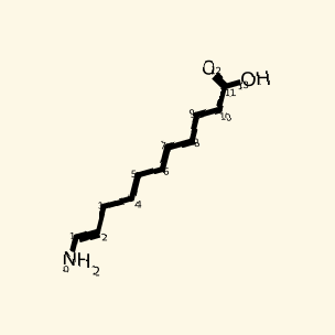 N/C=C/CCCCCCCCC(=O)O